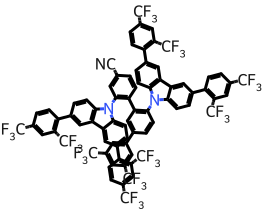 N#Cc1ccc(-c2cc(-c3cc(C(F)(F)F)cc(C(F)(F)F)c3)ccc2-n2c3ccc(-c4ccc(C(F)(F)F)cc4C(F)(F)F)cc3c3cc(-c4ccc(C(F)(F)F)cc4C(F)(F)F)ccc32)c(-n2c3ccc(-c4ccc(C(F)(F)F)cc4C(F)(F)F)cc3c3cc(-c4ccc(C(F)(F)F)cc4C(F)(F)F)ccc32)c1